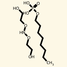 CCCCCCCCOP(=O)(O)O.OCCONOCCO